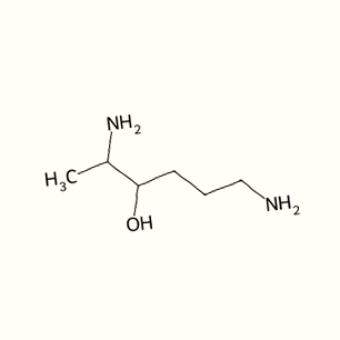 CC(N)C(O)CCCN